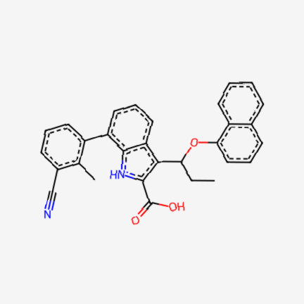 CCC(Oc1cccc2ccccc12)c1c(C(=O)O)[nH]c2c(-c3cccc(C#N)c3C)cccc12